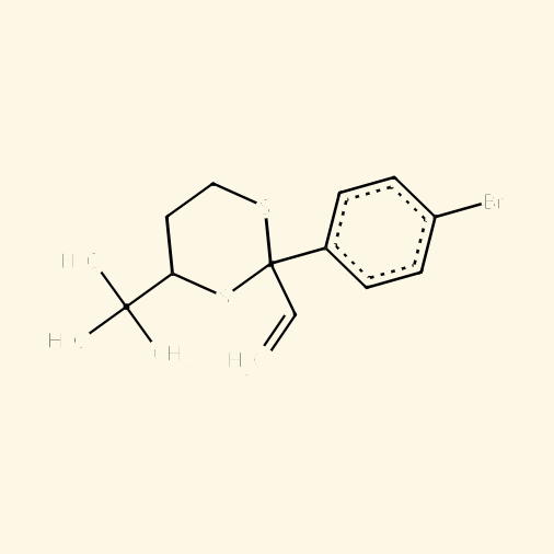 C=CC1(c2ccc(Br)cc2)SCCC(C(C)(C)C)S1